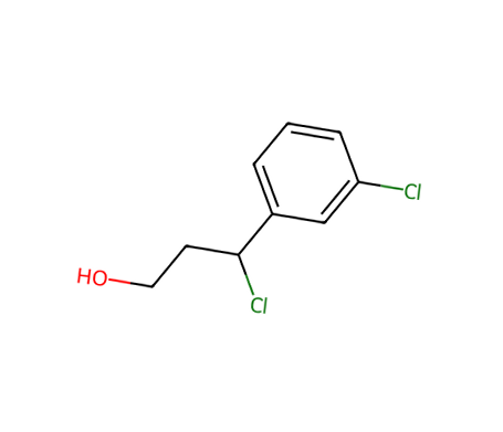 OCCC(Cl)c1cccc(Cl)c1